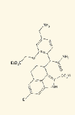 CCOC(=O)COc1cc(CN)ccc1C(C(N)=O)C1CCc2cc(Cl)cc3[nH]c(C(=O)O)c1c23